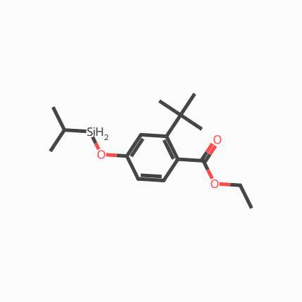 CCOC(=O)c1ccc(O[SiH2]C(C)C)cc1C(C)(C)C